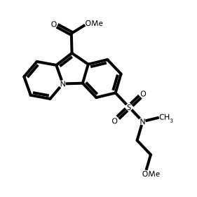 COCCN(C)S(=O)(=O)c1ccc2c(C(=O)OC)c3ccccn3c2c1